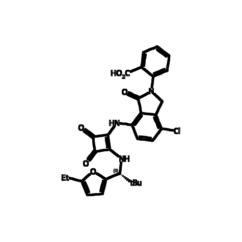 CCc1ccc([C@H](Nc2c(Nc3ccc(Cl)c4c3C(=O)N(c3ccccc3C(=O)O)C4)c(=O)c2=O)C(C)(C)C)o1